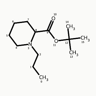 CCCN1CCCCC1C(=O)OC(C)(C)C